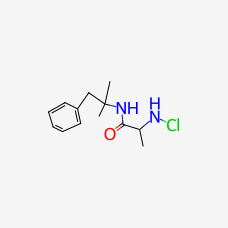 CC(NCl)C(=O)NC(C)(C)Cc1ccccc1